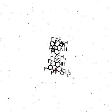 CC1(C)CC(=O)C2=C(C1)Nc1nn(CC3(C)CC(=O)C4=C(C3)Nc3n[nH]c(C(F)(F)F)c3C4c3cc(F)ccc3C(F)(F)F)c(C(F)(F)F)c1C2c1ccc(F)cc1C(F)(F)F